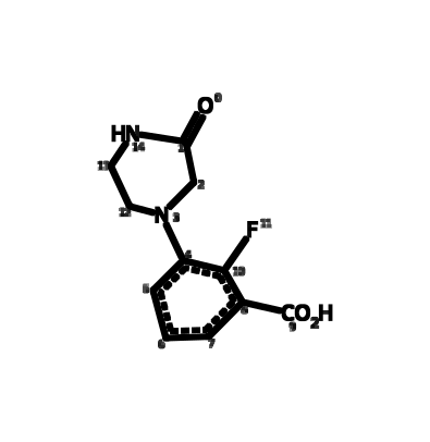 O=C1CN(c2cccc(C(=O)O)c2F)CCN1